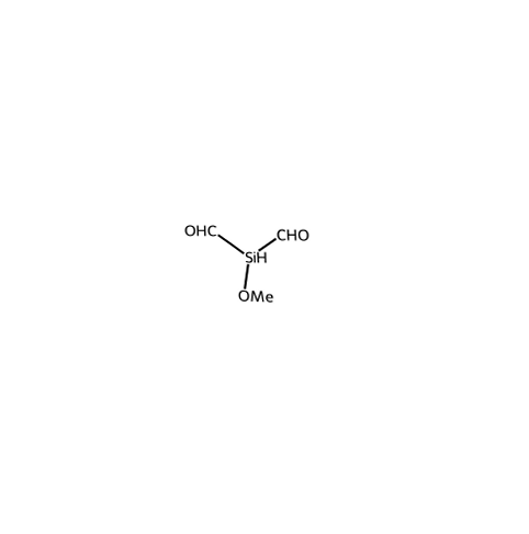 CO[SiH](C=O)C=O